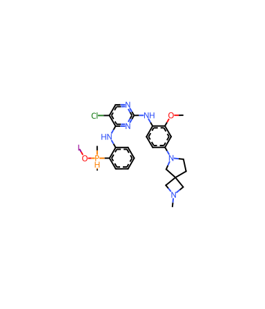 COc1cc(N2CCC3(CN(C)C3)C2)ccc1Nc1ncc(Cl)c(Nc2ccccc2[PH](C)(C)OI)n1